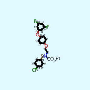 CCOC(=O)N(CCOc1ccc(Oc2cc(F)cc(F)c2)cc1)Sc1ccc(Cl)cc1